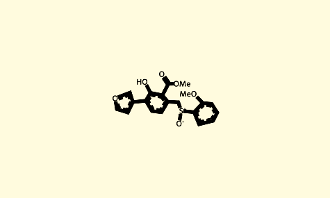 COC(=O)c1c(C[S+]([O-])c2ccccc2OC)ccc(-c2ccoc2)c1O